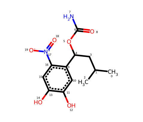 CC(C)CC(OC(N)=O)c1cc(O)c(O)cc1[N+](=O)[O-]